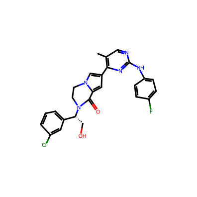 Cc1cnc(Nc2ccc(F)cc2)nc1-c1cc2n(c1)CCN([C@H](CO)c1cccc(Cl)c1)C2=O